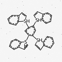 C1=C[SH](c2cc([SH]3C=Cc4ccccc43)c([SH]3C=Cc4ccccc43)cc2[SH]2C=Cc3ccccc32)c2ccccc21